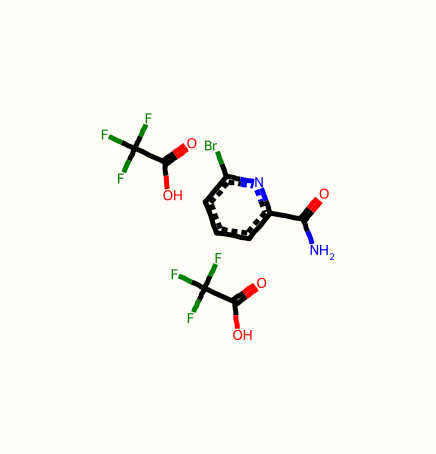 NC(=O)c1cccc(Br)n1.O=C(O)C(F)(F)F.O=C(O)C(F)(F)F